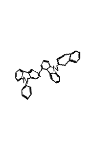 C1=CC2C(C(c3ccc4c(c3)c3ccccc3n4-c3ccccc3)=C1)c1ccccc1N2C1C=Cc2ccccc2C1